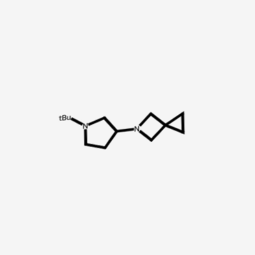 CC(C)(C)N1CCC(N2CC3(CC3)C2)C1